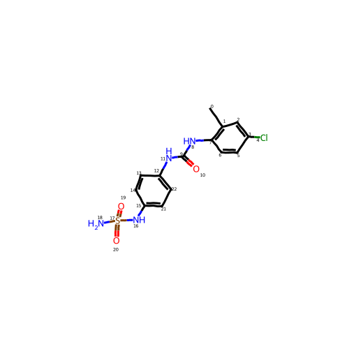 Cc1cc(Cl)ccc1NC(=O)Nc1ccc(NS(N)(=O)=O)cc1